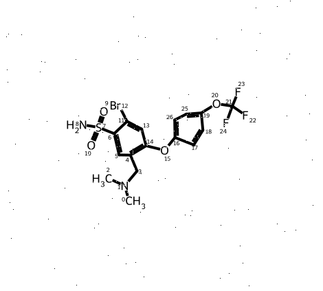 CN(C)Cc1cc(S(N)(=O)=O)c(Br)cc1Oc1ccc(OC(F)(F)F)cc1